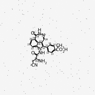 CC(=O)O.N#CC[C@H](N)C(=O)Nn1c(-c2ccccc2)c2c3c(cccc31)C(=O)NN=C2